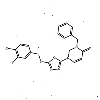 O=C1C=CN(c2nnc(SCc3ccc(Cl)c(Cl)c3)o2)CN1Cc1ccccc1